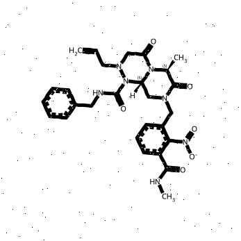 C=CCN1CC(=O)N2[C@@H](C)C(=O)N(Cc3cccc(C(=O)NC)c3[N+](=O)[O-])C[C@@H]2N1C(=O)NCc1ccccc1